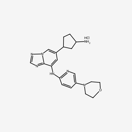 Cl.NC1CCC(c2cc(Nc3ccc(N4CCOCC4)cn3)c3ncnn3c2)C1